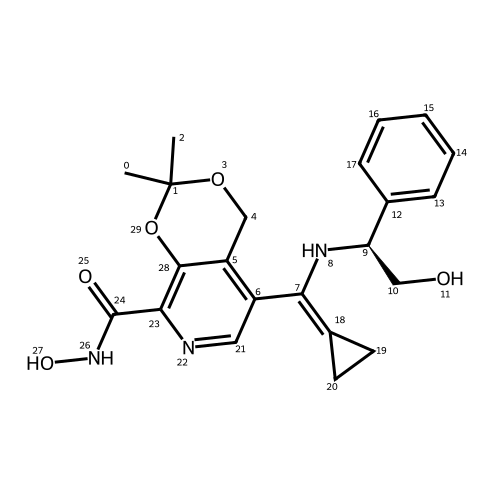 CC1(C)OCc2c(C(N[C@H](CO)c3ccccc3)=C3CC3)cnc(C(=O)NO)c2O1